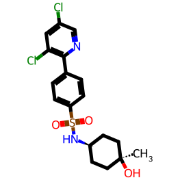 C[C@]1(O)CC[C@@H](NS(=O)(=O)c2ccc(-c3ncc(Cl)cc3Cl)cc2)CC1